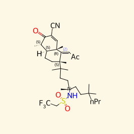 CCCC(C)(C)CC[C@@](C)(CCC(C)(C)[C@]1(C)CC[C@H]2[C@H](C)C(=O)C(C#N)=C[C@]2(C)/C1=C/C(C)=O)NS(=O)(=O)CC(F)(F)F